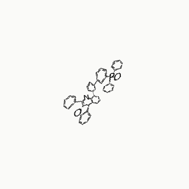 O=P(c1ccccc1)(c1ccccc1)c1cccc(-c2cccc(-c3cccc4c3nc(-c3ccccc3)c3oc5ccccc5c34)c2)c1